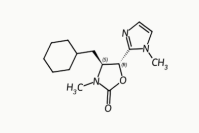 CN1C(=O)O[C@@H](c2nccn2C)[C@@H]1CC1CCCCC1